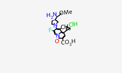 COC[C@@H](N)[C@@H]1CCN(c2c(F)cn3c(=O)c(C(=O)O)cc(C4CC4)c3c2C)C1.Cl